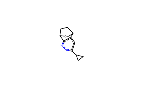 c1c(C2CC2)nnc2c1C1CCC2CC1